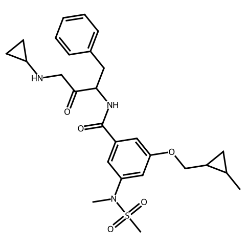 CC1CC1COc1cc(C(=O)NC(Cc2ccccc2)C(=O)CNC2CC2)cc(N(C)S(C)(=O)=O)c1